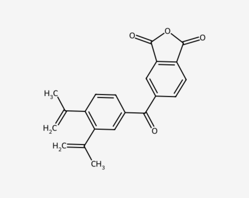 C=C(C)c1ccc(C(=O)c2ccc3c(c2)C(=O)OC3=O)cc1C(=C)C